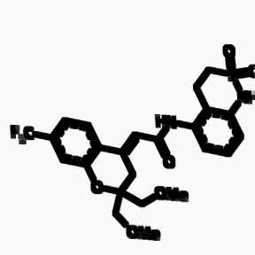 COCC1(COC)CC(=CC(=O)Nc2cccc3c2CCS(=O)(=O)N3)c2ccc(C(F)(F)F)cc2O1